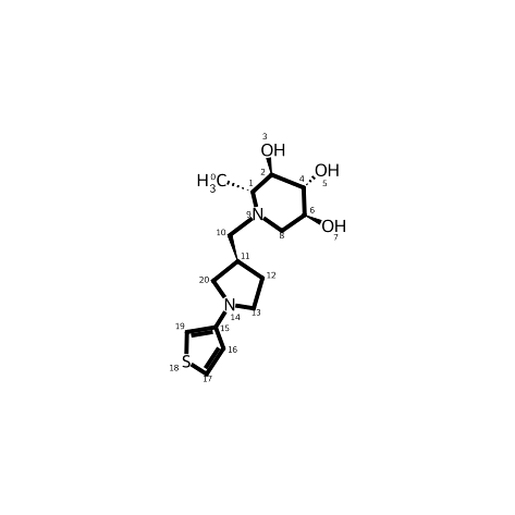 C[C@@H]1[C@@H](O)[C@H](O)[C@@H](O)CN1C[C@H]1CCN(c2ccsc2)C1